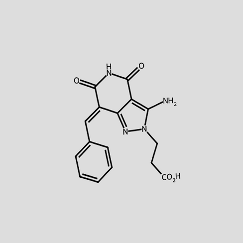 Nc1c2c(nn1CCC(=O)O)/C(=C\c1ccccc1)C(=O)NC2=O